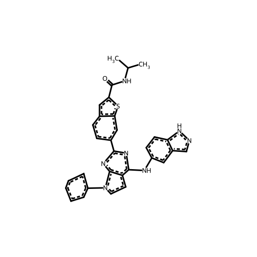 CC(C)NC(=O)c1cc2ccc(-c3nc(Nc4ccc5[nH]ncc5c4)c4ccn(-c5ccccc5)c4n3)cc2s1